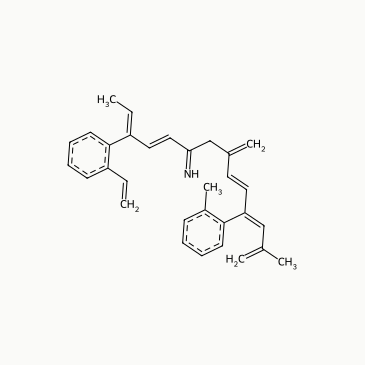 C=Cc1ccccc1C(=C\C)/C=C/C(=N)CC(=C)/C=C/C(=C/C(=C)C)c1ccccc1C